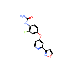 NC(=O)Nc1ccc(Oc2ccnc(-c3ccon3)c2)cc1F